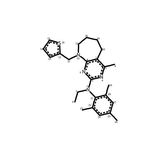 CCN(c1nc(C)c2c(n1)N(Cc1cccs1)CCCC2)c1c(C)cc(C)cc1C